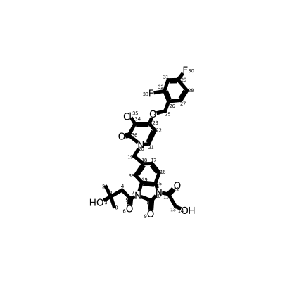 CC(C)(O)CC(=O)n1c(=O)n(C(=O)CO)c2ccc(Cn3ccc(OCc4ccc(F)cc4F)c(Cl)c3=O)cc21